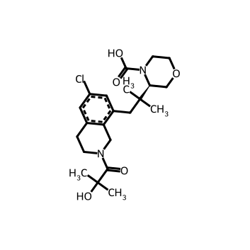 CC(C)(O)C(=O)N1CCc2cc(Cl)cc(CC(C)(C)[C@@H]3COCCN3C(=O)O)c2C1